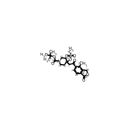 Cc1c(C(=O)CC2(OS(C)(=O)=O)CCN(C(=O)OC(C)(C)C)CC2)ccc2c1COC2=O